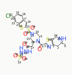 CC1Cc2nc(C(=O)N3CCN(S(=O)(=O)c4cc5ccc(Cl)cc5s4)CC3CC(=O)NNS(C)(=O)=O)sc2CN1